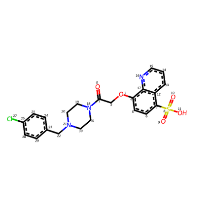 O=C(COc1ccc(S(=O)(=O)O)c2cccnc12)N1CCN(Cc2ccc(Cl)cc2)CC1